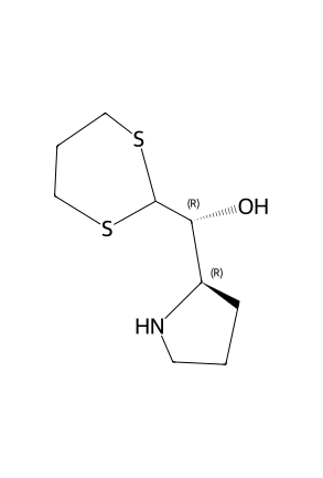 O[C@@H](C1SCCCS1)[C@H]1CCCN1